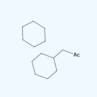 C1CCCCC1.CC(=O)CC1CCCCC1